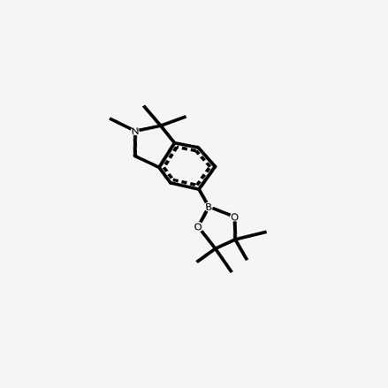 CN1Cc2cc(B3OC(C)(C)C(C)(C)O3)ccc2C1(C)C